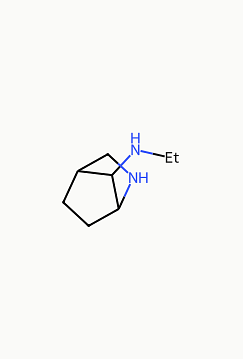 CCNC1C2CCC1NC2